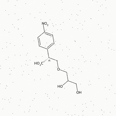 O=C(O)[C@@H](COCC(O)CO)c1ccc([N+](=O)[O-])cc1